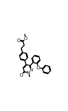 COC(=O)CCc1ccc(-c2cc(=O)n(C)nc2-c2ccccc2Oc2ccccc2)cc1